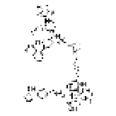 C=C(F)C(=O)N1CCN(c2nc(OC[C@@H]3CCCN3CCCOCCC(=O)N[C@H](C(=O)N3C[C@H](O)C[C@H]3C(=O)NCc3ccc(-c4scnc4C)cc3)C(C)(C)C)nc3c2CCN(c2cccc4cccc(Cl)c24)C3)C[C@@H]1CC#N